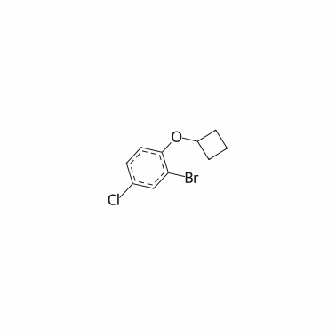 Clc1ccc(OC2CCC2)c(Br)c1